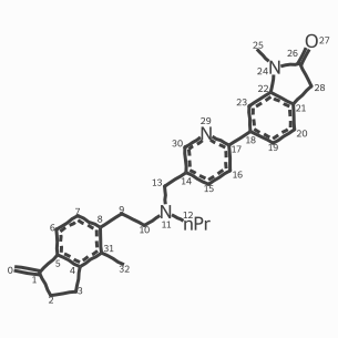 C=C1CCc2c1ccc(CCN(CCC)Cc1ccc(-c3ccc4c(c3)N(C)C(=O)C4)nc1)c2C